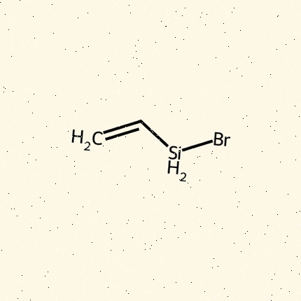 C=C[SiH2]Br